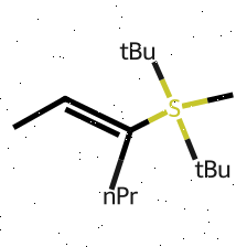 C/C=C(\CCC)S(C)(C(C)(C)C)C(C)(C)C